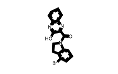 O=C(c1nc2ccccc2nc1O)N1CCc2c(Br)cccc21